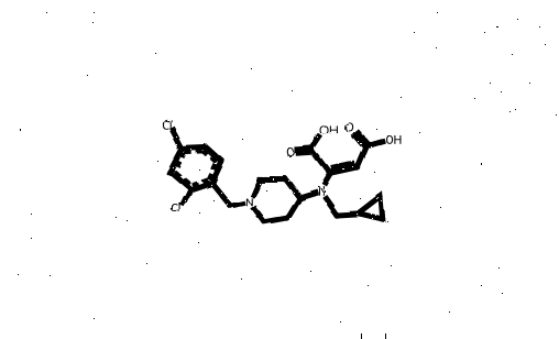 O=C(O)/C=C(\C(=O)O)N(CC1CC1)C1CCN(Cc2ccc(Cl)cc2Cl)CC1